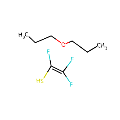 CCCOCCC.FC(F)=C(F)S